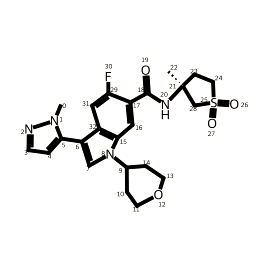 Cn1nccc1-c1cn(C2CCOCC2)c2cc(C(=O)N[C@@]3(C)CCS(=O)(=O)C3)c(F)cc12